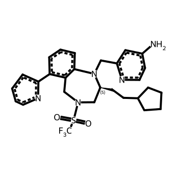 Nc1ccnc(CN2c3cccc(-c4ccccn4)c3CN(S(=O)(=O)C(F)(F)F)C[C@@H]2CCC2CCCC2)c1